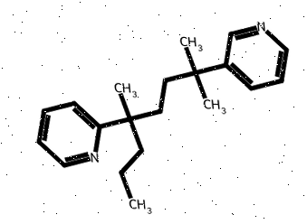 CCCC(C)(CCC(C)(C)c1cccnc1)c1ccccn1